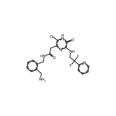 NCc1ccccc1CNC(=O)Cc1nc(NCC(F)(F)c2ccccn2)c(=O)[nH]c1Cl